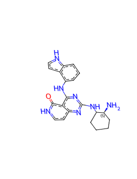 N[C@H]1CCCCC1Nc1nc(Nc2cccc3[nH]ccc23)c2c(=O)[nH]ccc2n1